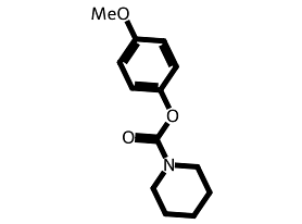 COc1ccc(OC(=O)N2CCCCC2)cc1